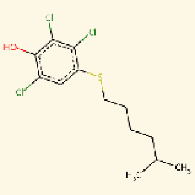 CC(C)CCCCSc1cc(Cl)c(O)c(Cl)c1Cl